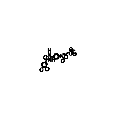 COc1ccc(C(=O)NC(=N)c2ccc(N3CC(COS(C)(=O)=O)OC3=O)cc2)cc1OC